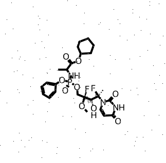 CO[C@](F)(COP(=O)(NC(C)C(=O)OC1CCCCC1)Oc1ccccc1)[C@@H](O)[C@@](C)(F)n1ccc(=O)[nH]c1=O